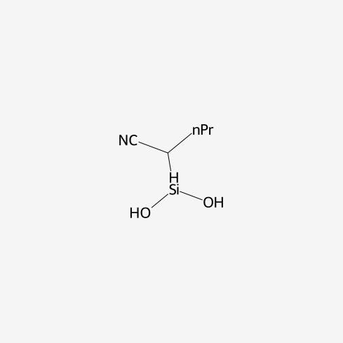 CCCC(C#N)[SiH](O)O